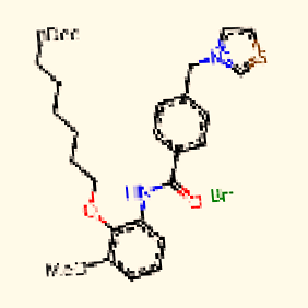 CCCCCCCCCCCCCCCCOc1c(NC(=O)c2ccc(C[n+]3ccsc3)cc2)cccc1OC.[Br-]